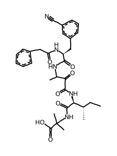 CC[C@H](C)[C@H](NC(=O)C(=O)C(C)NC(=O)[C@H](Cc1cccc(C#N)c1)NC(=O)Cc1ccccc1)C(=O)NC(C)(C)C(=O)O